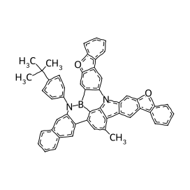 Cc1cc2c3c4c1c1cc5c(cc1n4-c1cc4c(cc1B3N(c1ccc(C(C)(C)C)cc1)c1cc3ccccc3cc1-2)oc1ccccc14)oc1ccccc15